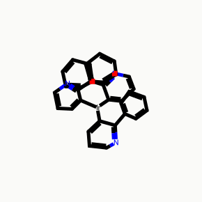 c1ccc(-c2nccc[c]2[Ir]([c]2cccnc2-c2ccccc2)[c]2cccnc2-c2ccccc2)cc1